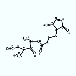 CN(OC(=O)CCCN1C(=O)C=CC1=O)C(=O)C(CC=O)S(=O)(=O)O